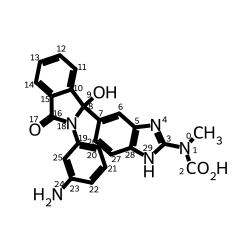 CN(C(=O)O)c1nc2cc(C3(O)c4ccccc4C(=O)N3c3cccc(N)c3)ccc2[nH]1